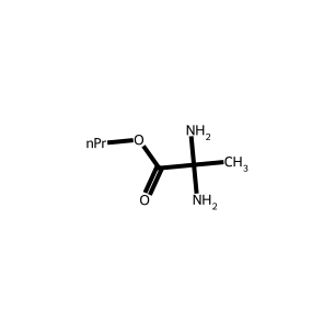 CCCOC(=O)C(C)(N)N